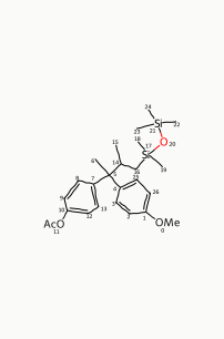 COc1ccc(C(C)(c2ccc(OC(C)=O)cc2)C(C)C[Si](C)(C)O[Si](C)(C)C)cc1